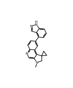 CN1CC2(CC2)c2c1cnc1ccc(-c3cccc4[nH]ncc34)cc21